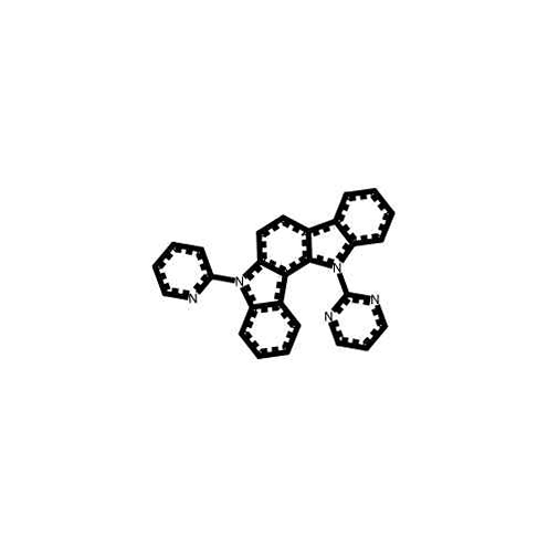 c1ccc(-n2c3ccccc3c3c2ccc2c4ccccc4n(-c4ncccn4)c23)nc1